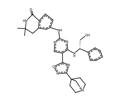 CC1(C)Cc2cc(Nc3ncc(-c4nc(C56CCN(CC5)CC6)no4)c(N[C@H](CO)c4ccccc4)n3)ccc2C(=O)N1